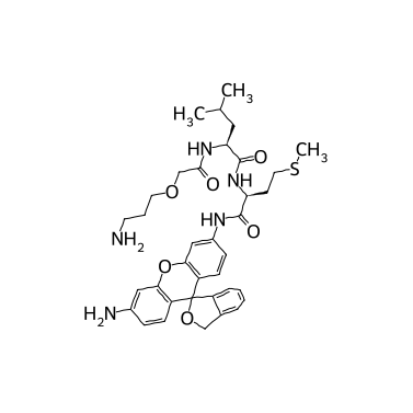 CSCC[C@H](NC(=O)[C@H](CC(C)C)NC(=O)COCCCN)C(=O)Nc1ccc2c(c1)Oc1cc(N)ccc1C21OCc2ccccc21